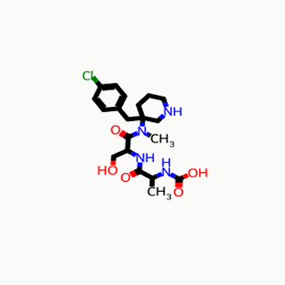 CC(NC(=O)O)C(=O)NC(CO)C(=O)N(C)C1(Cc2ccc(Cl)cc2)CCCNC1